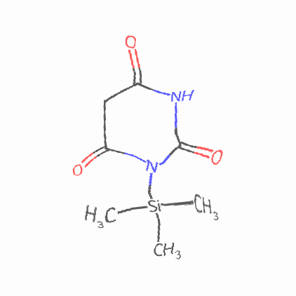 C[Si](C)(C)N1C(=O)CC(=O)NC1=O